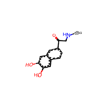 CC(C)(C)NCC(=O)c1ccc2cc(O)c(O)cc2c1